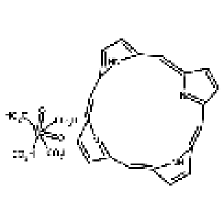 C1=Cc2cc3ccc(cc4nc(cc5ccc(cc1n2)[nH]5)C=C4)[nH]3.O=[C](O)[Ti](=[O])(=[O])([C](=O)O)([C](=O)O)[C](=O)O